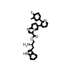 Cc1cc(-c2ncccc2-c2ccc3ncc(C(=O)OC[C@H](N)Cc4c[nH]c5ccccc45)n3c2)ccc1F